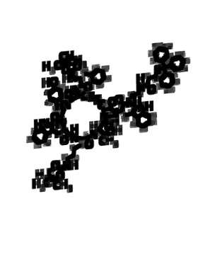 C[C@@H](O)[C@@H]1NC(=O)[C@H](CCCCNC(=O)OC(C)(C)C)NC(=O)[C@@H](Cc2c[nH]c3ccccc23)NC(=O)[C@H](Cc2ccc(O)cc2)NC(=O)[C@@H](NC(=O)[C@@H](Cc2ccccc2)NC(=O)OC(C)(C)C)CSSC[C@@H](C(=O)N[C@@H](Cc2c[nH]c3ccccc23)C(=O)NCCNC(=O)CCSC(c2ccccc2)(c2ccccc2)c2ccccc2)NC1=O